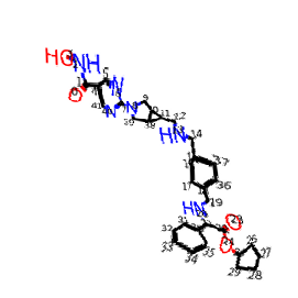 O=C(NO)c1cnc(N2CC3C(CNCc4ccc(CN[C@H](C(=O)OC5CCCC5)c5ccccc5)cc4)C3C2)nc1